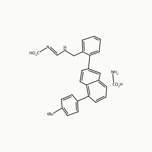 CC(C)(C)c1ccc(-c2cccc3cc(-c4ccccc4CNC=NC(=O)O)ccc23)cc1.NC(=O)O